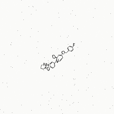 O=c1cc(OCc2ccc(F)cc2)ccn1-c1ccc(O[C@@H]2CCCN2)cc1